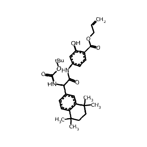 C=CCOC(=O)c1ccc(NC(=O)C(NC(=O)OC(C)(C)C)c2ccc3c(c2)C(C)(C)CCC3(C)C)cc1O